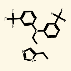 CCB(c1cccc(C(F)(F)F)c1)c1cccc(C(F)(F)F)c1.CCc1cnc[nH]1